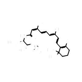 CC(C=CC1=C(C)CCCC1(C)C)=CC=C/C(C)=C\C(=O)N[C@H](C(=O)O)[C@@H](C)OP(=O)(O)O